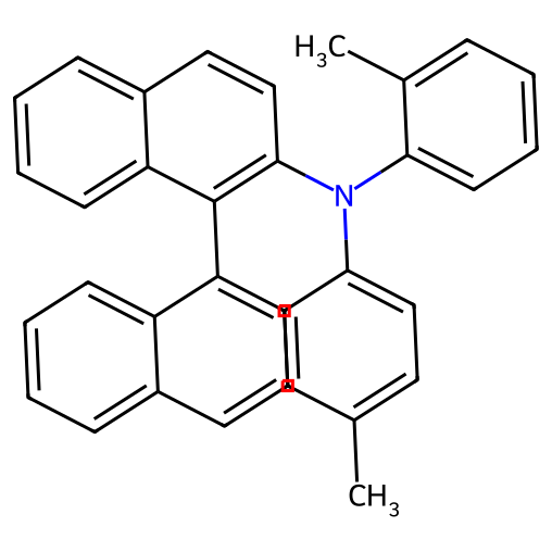 Cc1ccc(N(c2ccccc2C)c2ccc3ccccc3c2-c2cccc3ccccc23)cc1